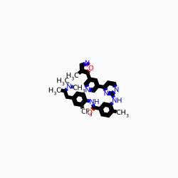 Cc1ccc(C(=O)Nc2ccc(CC(C)N(C)C)cc2C(F)(F)F)cc1Nc1nccc(-c2cncc(-c3oncc3C)c2)n1